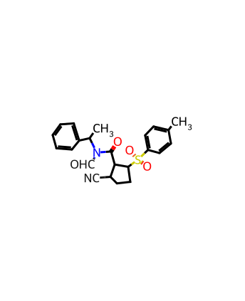 Cc1ccc(S(=O)(=O)C2CCC(C#N)C2C(=O)N(C=O)C(C)c2ccccc2)cc1